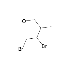 CC(C[O])C(Br)CBr